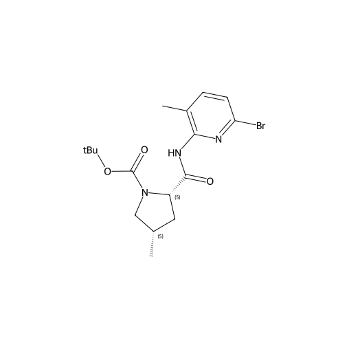 Cc1ccc(Br)nc1NC(=O)[C@@H]1C[C@H](C)CN1C(=O)OC(C)(C)C